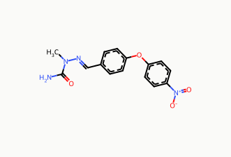 CN(N=Cc1ccc(Oc2ccc([N+](=O)[O-])cc2)cc1)C(N)=O